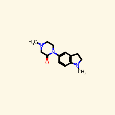 CN1CCN(c2ccc3c(c2)CCN3C)C(=O)C1